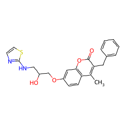 Cc1c(Cc2ccccc2)c(=O)oc2cc(OCC(O)CNc3nccs3)ccc12